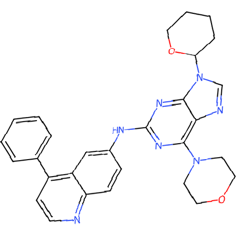 c1ccc(-c2ccnc3ccc(Nc4nc(N5CCOCC5)c5ncn(C6CCCCO6)c5n4)cc23)cc1